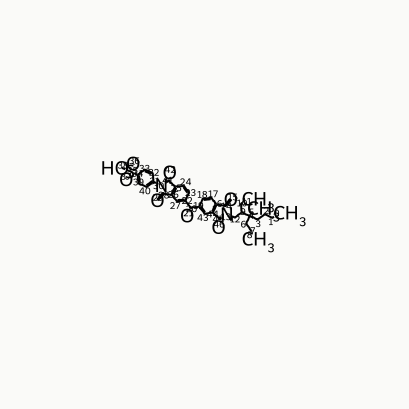 CCCCC(C)(CCC)C(CC)CN1C(=O)c2ccc(C(=O)c3ccc4c(c3)C(=O)N(c3ccc(S(=O)(=O)O)cc3)C4=O)cc2C1=O